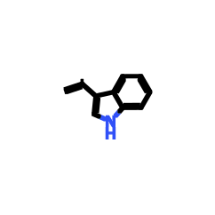 C=[C]c1c[nH]c2ccccc12